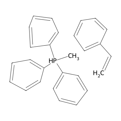 C=Cc1ccccc1.C[PH](c1ccccc1)(c1ccccc1)c1ccccc1